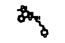 Cc1noc(C)c1-c1ccccc1-c1nnc(NCCCCN2CCOCC2)o1